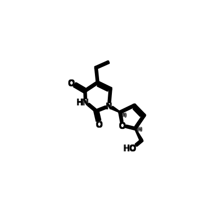 CCc1cn([C@H]2C=C[C@@H](CO)O2)c(=O)[nH]c1=O